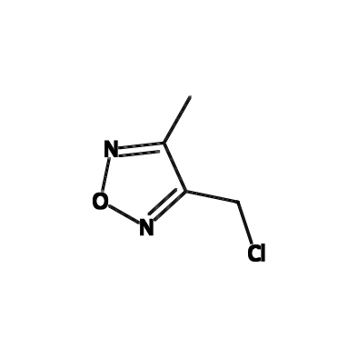 Cc1nonc1CCl